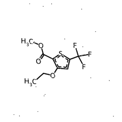 CCOc1cc(C(F)(F)F)sc1C(=O)OC